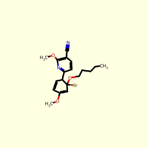 CCCCCOC1(Br)C=C(OC)C=CC1c1ccc(C#N)c(OC)n1